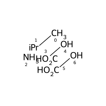 CC(C)C.N.O=C(O)O.O=C(O)O